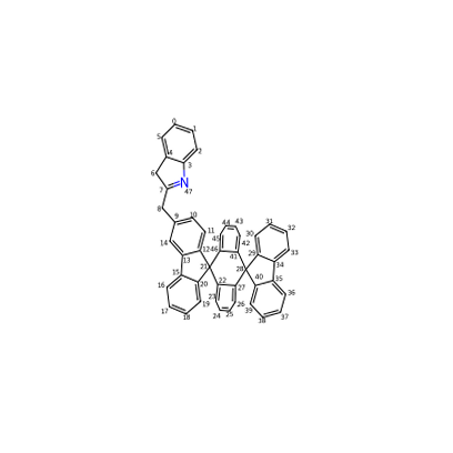 c1ccc2c(c1)CC(Cc1ccc3c(c1)-c1ccccc1C31c3ccccc3C3(c4ccccc4-c4ccccc43)c3ccccc31)=N2